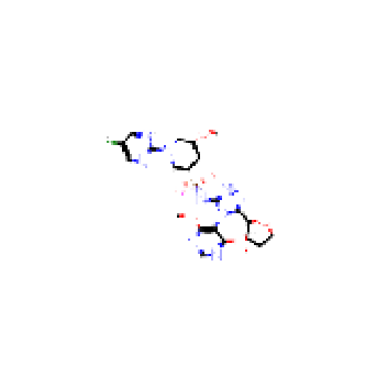 COc1ncnc(OC)c1-n1c(NS(=O)(=O)[C@H]2C[C@H](OC)CN(c3ncc(F)cn3)C2)nnc1C1CCCO1